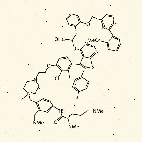 CNCCCC(NC)C(=O)Nc1ccc(C[N+]2(C)CCN(CCOc3ccc(-c4c(-c5ccc(F)cc5)sc5ncnc(OC(C=O)Cc6ccccc6OCc6ccnc(-c7ccccc7OC)n6)c45)c(C)c3Cl)CC2)c(CNC)c1